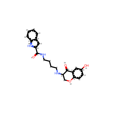 O=C(NCCCCNC1COc2ccc(O)cc2C1=O)c1cc2ccccc2[nH]1